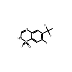 O=S1(=O)NC=Nc2cc(C(F)(F)F)c(F)cc21